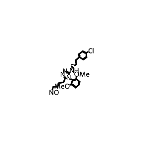 COc1cccc(OC)c1-n1c(CCCCN=O)nnc1NSCCc1ccc(Cl)cc1